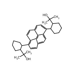 CC(C)(O)C1CCCCC1c1ccc2ccc3c(C4CCCCC4C(C)(C)O)ccc4ccc1c2c43